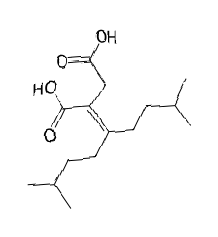 CC(C)CCC(CCC(C)C)=C(CC(=O)O)C(=O)O